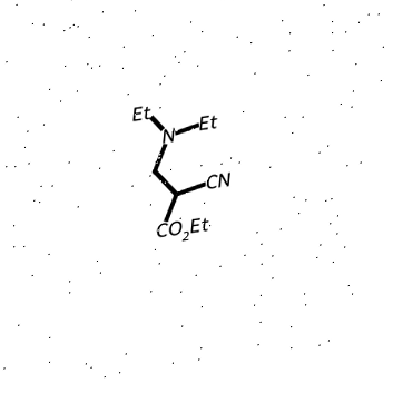 CCOC(=O)C(C#N)CN(CC)CC